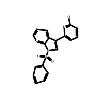 O=S(=O)(c1ccccc1)n1cc(-c2cccc(Cl)n2)c2cccnc21